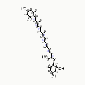 CC(/C=C/C=C(/C=C=C1C(C)(C)CC(O)CC1(C)O)CO)=C\C=C\C=C(C)\C=C\C=C(C)\C=C\C1C(C)CC(O)CC1(C)C